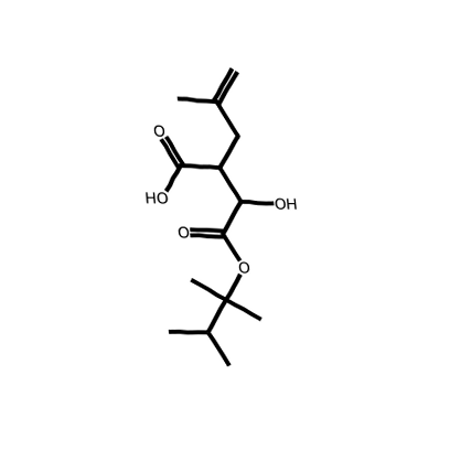 C=C(C)CC(C(=O)O)C(O)C(=O)OC(C)(C)C(C)C